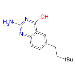 CC(C)(C)CCc1ccc2nc(N)nc(O)c2c1